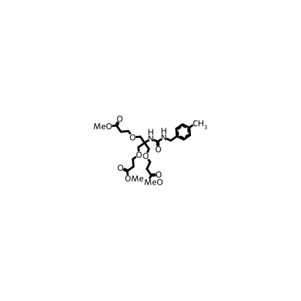 COC(=O)CCOCC(COCCC(=O)OC)(COCCC(=O)OC)NC(=O)NCc1ccc(C)cc1